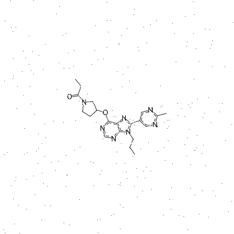 CCCn1c(-c2cnc(C)nc2)nc2c(OC3CCN(C(=O)CC)C3)ncnc21